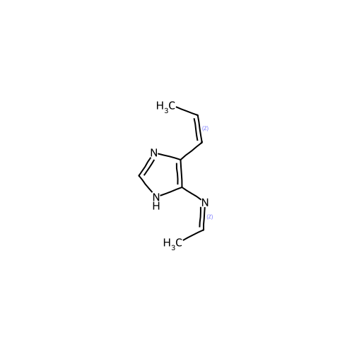 C/C=C\c1nc[nH]c1/N=C\C